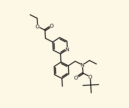 CCOC(=O)Cc1ccnc(-c2ccc(C)cc2CN(CC)C(=O)OC(C)(C)C)c1